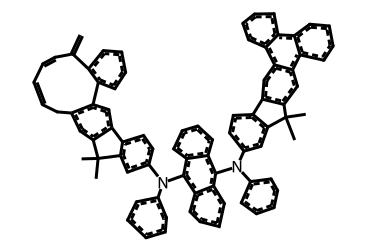 C=C1/C=C\C=C/Cc2cc3c(cc2-c2ccccc21)-c1ccc(N(c2ccccc2)c2c4ccccc4c(N(c4ccccc4)c4ccc5c(c4)C(C)(C)c4cc6c7ccccc7c7ccccc7c6cc4-5)c4ccccc24)cc1C3(C)C